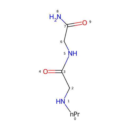 CCCNCC(=O)NCC(N)=O